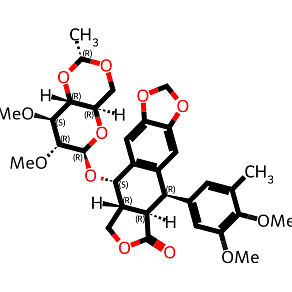 COc1cc([C@@H]2c3cc4c(cc3[C@@H](O[C@@H]3O[C@@H]5CO[C@@H](C)O[C@H]5[C@H](OC)[C@H]3OC)[C@H]3COC(=O)[C@H]23)OCO4)cc(C)c1OC